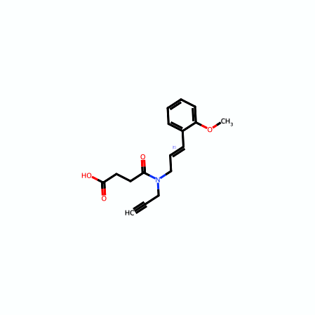 C#CCN(C/C=C/c1ccccc1OC)C(=O)CCC(=O)O